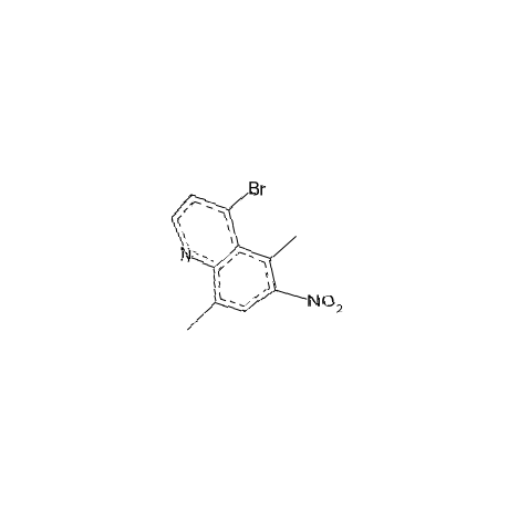 Cc1cc([N+](=O)[O-])c(C)c2c(Br)ccnc12